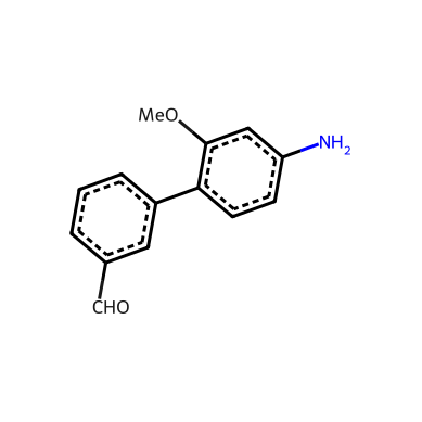 COc1cc(N)ccc1-c1cccc(C=O)c1